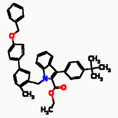 CCOC(=O)c1c(-c2ccc(C(C)(C)C)cc2)c2ccccc2n1Cc1cc(-c2ccc(OCc3ccccc3)cc2)ccc1C